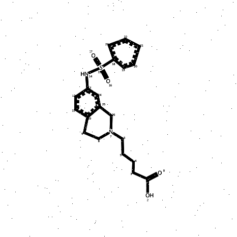 O=C(O)CCCCN1CCc2ccc(NS(=O)(=O)c3ccccc3)cc2C1